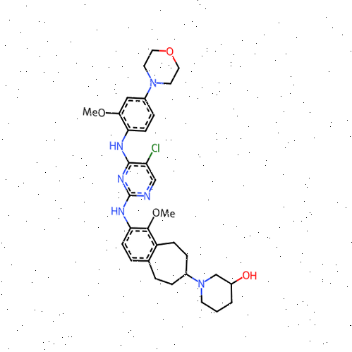 COc1cc(N2CCOCC2)ccc1Nc1nc(Nc2ccc3c(c2OC)CCC(N2CCCC(O)C2)CC3)ncc1Cl